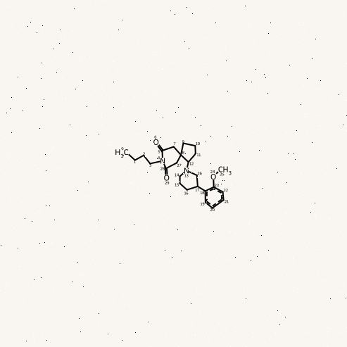 CCCCN1C(=O)CC2(CCCC2N2CCCC(c3ccccc3OC)C2)CC1=O